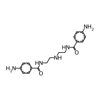 Nc1ccc(C(=O)NCCNCCNC(=O)c2ccc(N)cc2)cc1